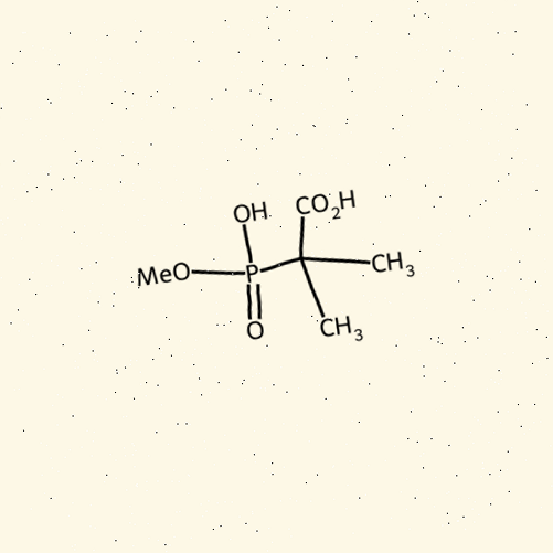 COP(=O)(O)C(C)(C)C(=O)O